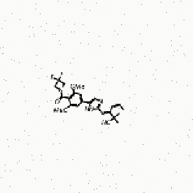 C/C=C\C(=C/c1ncc(-c2cc(OC)c(C(=O)N3CC(F)(F)C3)c(OC)c2)[nH]1)C(C)(C)C#N